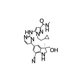 CNC(=O)c1cc(Nc2nccc(-c3cc(C#N)c4c(c3)[C@@](C)(CO)CN4)n2)n(CCC2CC2)n1